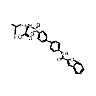 CC(C)C[C@H](NS(=O)(=O)c1ccc(-c2ccc(NC(=O)c3cc4ccccc4o3)cc2)cc1)C(=O)O